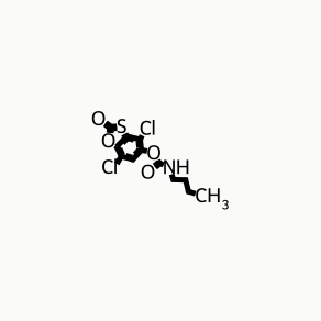 CCCCNC(=O)Oc1cc(Cl)c2oc(=O)sc2c1Cl